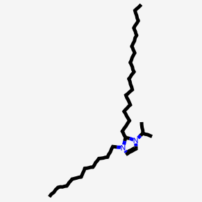 CCCCCCCCCCCCCCCCC1N(CCCCCCCCCC)C=CN1C(C)C